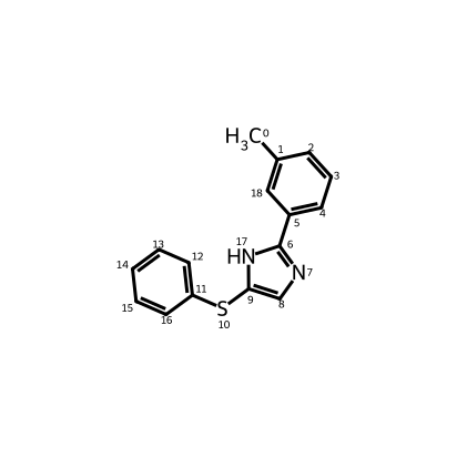 Cc1cccc(-c2ncc(Sc3ccccc3)[nH]2)c1